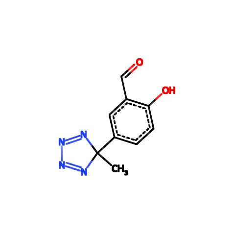 CC1(c2ccc(O)c(C=O)c2)N=NN=N1